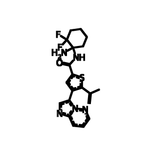 C=C(C)c1sc(C(=O)NC2(N)CCCCC2(F)F)cc1-c1cnc2cccnn12